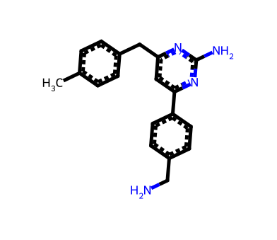 Cc1ccc(Cc2cc(-c3ccc(CN)cc3)nc(N)n2)cc1